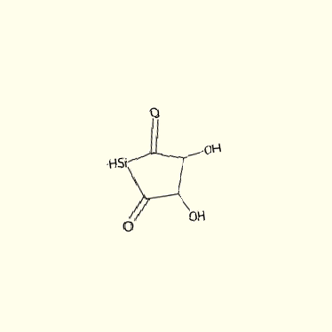 O=C1[SiH]C(=O)C(O)C1O